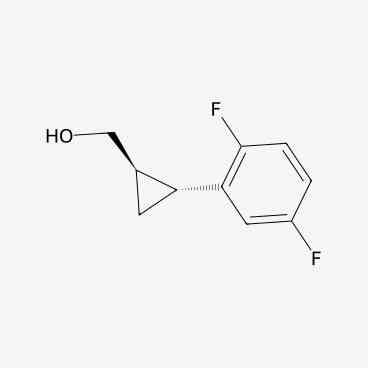 OC[C@@H]1C[C@H]1c1cc(F)ccc1F